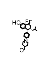 CC(C)C[C@H]1CC(F)(F)c2cc(O)ccc2[C@H]1c1ccc(N2CCC(C=O)CC2)cc1